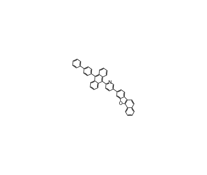 c1ccc(-c2ccc(-c3c4ccccc4c(-c4ccc(-c5ccc6c(c5)oc5c7ccccc7ccc65)cn4)c4ccccc34)cc2)cc1